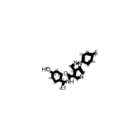 CCC(NC(=O)c1cncc2c1cnn2-c1ccc(F)cc1)C1CCC(O)CC1